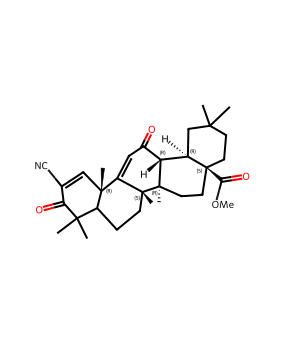 COC(=O)[C@]12CCC(C)(C)C[C@@H]1[C@H]1C(=O)C=C3[C@@]4(C)C=C(C#N)C(=O)C(C)(C)C4CC[C@@]3(C)[C@]1(C)CC2